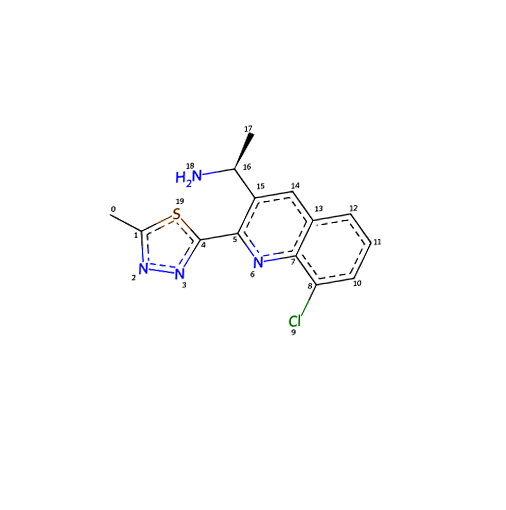 Cc1nnc(-c2nc3c(Cl)cccc3cc2[C@H](C)N)s1